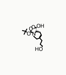 CC(C)(C)OC(=O)N1CCC(CCCO)=CC[C@H]1C(=O)O